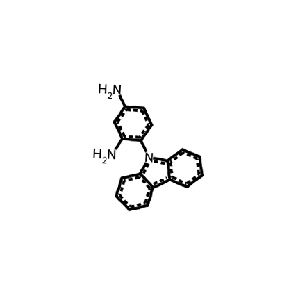 Nc1ccc(-n2c3ccccc3c3ccccc32)c(N)c1